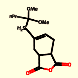 CCCC(OC)(OC)[SiH2]C1=CCC2C(=O)OC(=O)C2C1